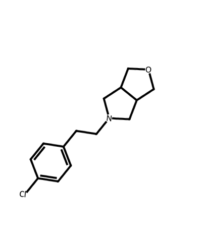 Clc1ccc(CCN2CC3COCC3C2)cc1